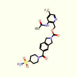 CC(C)(C)C(=O)Nc1cc(C(F)(F)F)cnc1COC(=O)N1Cc2ccc(C(=O)N3CCC(S(N)(=O)=O)CC3)cc2C1